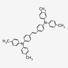 Cc1ccc(N(c2ccc(C)cc2)c2ccc(C=Cc3ccc(N(c4ccc(C)cc4)c4ccc(C)cc4)cc3)cc2)cc1